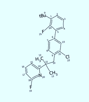 CC(C)(C)c1cccc(-c2ccc(CC(C)(C)c3cccc(F)n3)c(Cl)c2)c1F